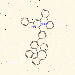 C1=CCC(c2ccccc2)C(C2=CC(c3ccccc3)NC(C3=CC(c4cccc(C5(c6ccccc6)C6=C(C=CCC6)CCc6ccccc65)c4)CC=C3)N2)=C1